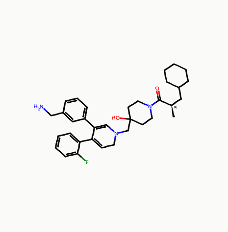 C[C@H](CC1CCCCC1)C(=O)N1CCC(O)(CN2C=C(c3cccc(CN)c3)C(c3ccccc3F)=CC2)CC1